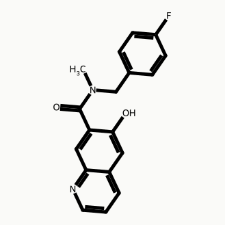 CN(Cc1ccc(F)cc1)C(=O)c1cc2ncccc2cc1O